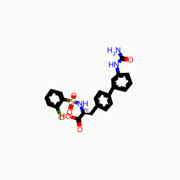 NC(=O)Nc1cccc(-c2ccc(C[C@H](NS(=O)(=O)c3ccccc3Cl)C(=O)O)cc2)c1